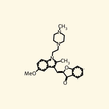 COc1ccc2c(c1)c(/C=C1\Oc3c[c]c[c]c3C1=O)c(C)n2CCN1CCN(C)CC1